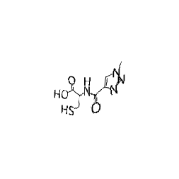 Cn1cc(C(=O)NC(CS)C(=O)O)nn1